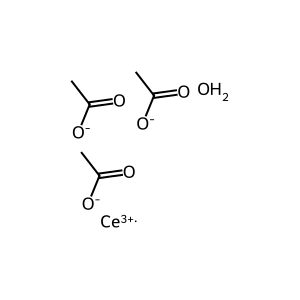 CC(=O)[O-].CC(=O)[O-].CC(=O)[O-].O.[Ce+3]